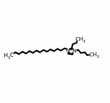 CCCCCCCCCCCCCCCCn1cc[n+](CCCCC)c1CCC